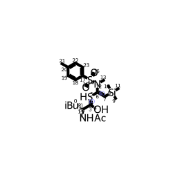 CC[C@@H](C)[C@H](NC(C)=O)/C(O)=[SH]/C(=C/[Si](C)(C)C)N(C)S(=O)(=O)c1ccc(C)cc1